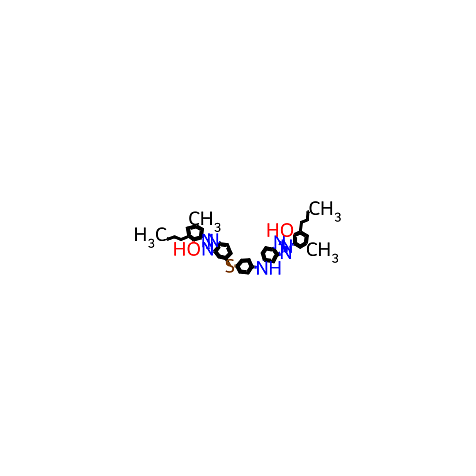 CCCCc1cc(C)cc(-n2nc3ccc(Nc4ccc(Sc5ccc6nn(-c7cc(C)cc(CCCC)c7O)nc6c5)cc4)cc3n2)c1O